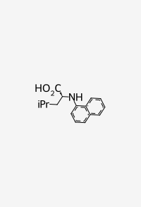 CC(C)C[C@H](Nc1cccc2ccccc12)C(=O)O